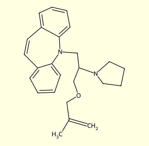 C=C(C)COCC(CN1c2ccccc2C=Cc2ccccc21)N1CCCC1